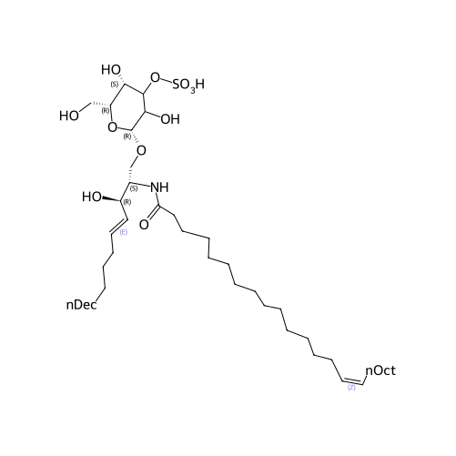 CCCCCCCC/C=C\CCCCCCCCCCCCCC(=O)N[C@@H](CO[C@@H]1O[C@H](CO)[C@H](O)C(OS(=O)(=O)O)C1O)[C@H](O)/C=C/CCCCCCCCCCCCC